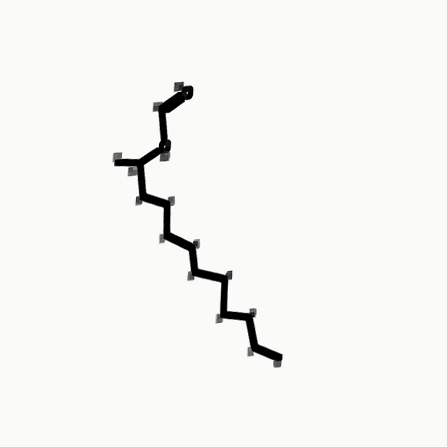 CCCCCCCCCCC(C)O[C]=O